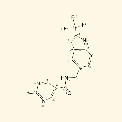 Cc1ncc(C(=O)NCc2ccc3[nH]c(C(F)(F)F)cc3c2)cn1